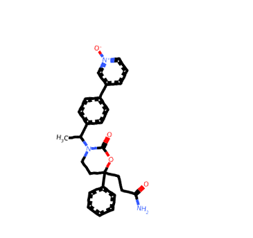 CC(c1ccc(-c2ccc[n+]([O-])c2)cc1)N1CCC(CCC(N)=O)(c2ccccc2)OC1=O